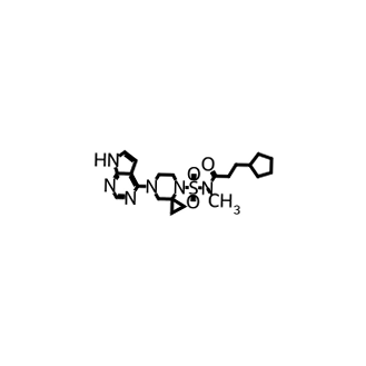 CN(C(=O)CCC1CCCC1)S(=O)(=O)N1CCN(c2ncnc3[nH]ccc23)CC12CC2